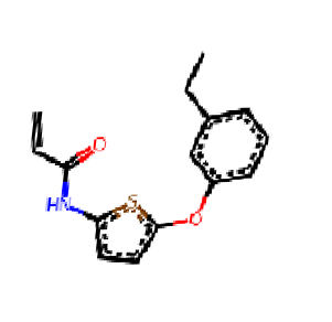 C=CC(=O)Nc1ccc(Oc2cccc(CC)c2)s1